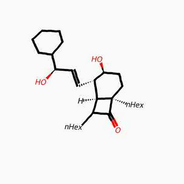 CCCCCCC1C(=O)[C@]2(CCCCCC)CC[C@H](O)[C@@H](/C=C/[C@@H](O)C3CCCCC3)[C@H]12